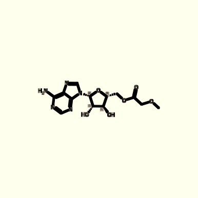 COCC(=O)OC[C@H]1O[C@@H](n2cnc3c(N)ncnc32)[C@@H](O)[C@@H]1O